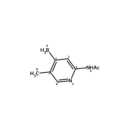 Bc1cc(NC(C)=O)ncc1C